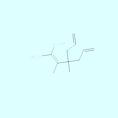 C=CCC(C)(CC=C)C(C)=C(C(=O)O)C(=O)O